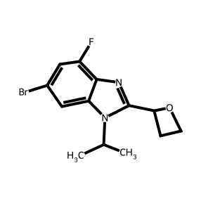 CC(C)n1c(C2CCO2)nc2c(F)cc(Br)cc21